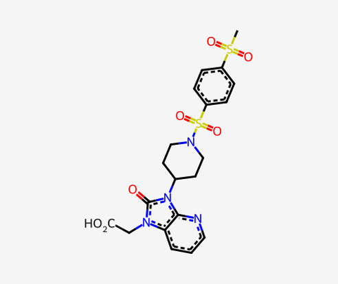 CS(=O)(=O)c1ccc(S(=O)(=O)N2CCC(n3c(=O)n(CC(=O)O)c4cccnc43)CC2)cc1